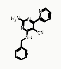 N#Cc1c(NCc2ccccc2)nc(N)nc1-c1ccccn1